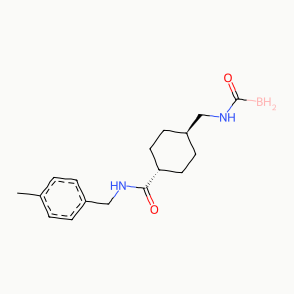 BC(=O)NC[C@H]1CC[C@H](C(=O)NCc2ccc(C)cc2)CC1